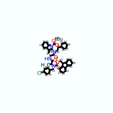 CC(C(=O)N[C@H](Cc1cn(C(=O)OC(C)(C)C)c2ccccc12)C(=O)NCCc1ccccc1)N(Cc1ccc(Cl)cc1)C(=O)OCC1c2ccccc2-c2ccccc21